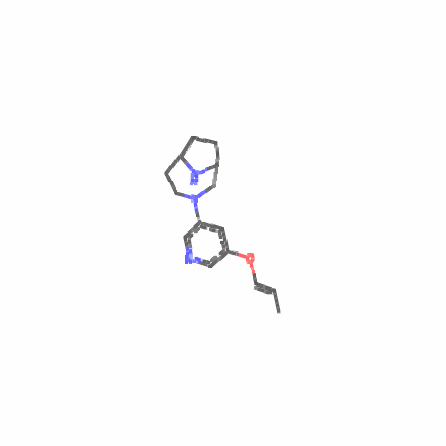 CC=COc1cncc(N2CCC3CCC(C2)N3)c1